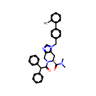 CN(C)C(=O)[C@@H]1Cc2c(ncn2Cc2ccc(-c3ccccc3C#N)cc2)CN1C(=O)C(c1ccccc1)c1ccccc1